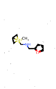 C[SH]12(CNCc3ccco3)CC1C2